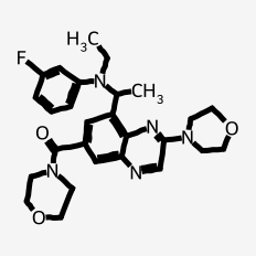 CCN(c1cccc(F)c1)C(C)c1cc(C(=O)N2CCOCC2)cc2ncc(N3CCOCC3)nc12